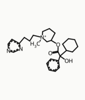 C[N@@+]1(CCCc2ccncn2)CCCC(OC(=O)C(O)(c2ccccc2)C2CCCCC2)C1